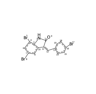 O=C1Nc2c(Br)cc(Br)cc2C1=Cc1ccc(Br)cc1